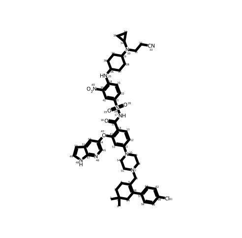 CC1(C)CCC(CN2CCN(c3ccc(C(=O)NS(=O)(=O)c4ccc(NC5CCC(N(CCC#N)C6CC6)CC5)c([N+](=O)[O-])c4)c(Oc4cnc5[nH]ccc5c4)c3)CC2)=C(c2ccc(Cl)cc2)C1